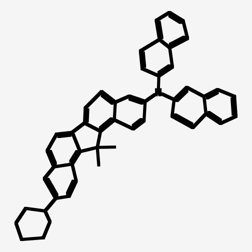 CC1(C)c2c(ccc3cc(C4CCCCC4)ccc23)-c2ccc3cc(N(c4ccc5ccccc5c4)c4ccc5ccccc5c4)ccc3c21